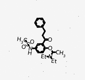 CCN(CC)C(C)Oc1ccc(NS(C)(=O)=O)cc1C(=O)CCc1ccccc1